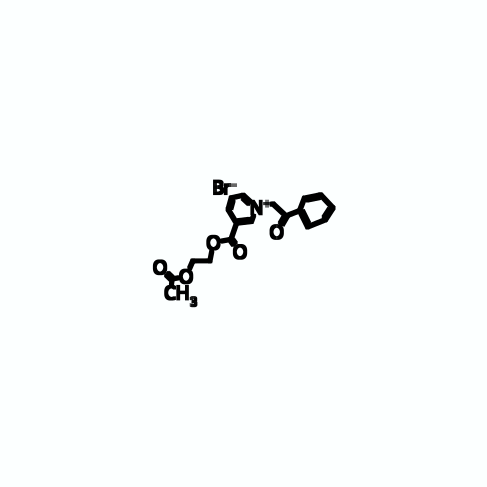 CC(=O)OCCOC(=O)c1ccc[n+](CC(=O)c2ccccc2)c1.[Br-]